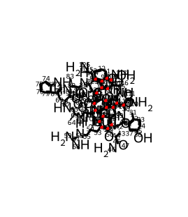 CC[C@H](C)[C@H](NC(=O)[C@H](Cc1c[nH]c2ccccc12)NC(=O)[C@H](Cc1ccccc1)NC(=O)[C@H](Cc1ccc(O)cc1)NC(=O)[C@H](CCC(N)=O)NC(=O)[C@@H](N)CCCNC(=N)N)C(=O)N[C@@H](C)C(=O)N[C@@H](Cc1c[nH]c2ccccc12)C(=O)N[C@@H](C)C(=O)N[C@@H](CCCCN)C(=O)N[C@@H](CC(C)C)C(=O)N[C@@H](C)C(=O)N[C@@H](CC(N)=O)C(=O)N[C@@H](CO)C(=O)N[C@@H](CCCCN)C(=O)O